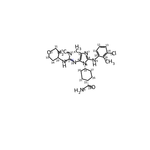 C=N/C(=N\c1c(C)nc(Nc2cccc(Cl)c2C)n1[C@H]1CC[C@@H](C(N)=O)CC1)NC1CCOCC1